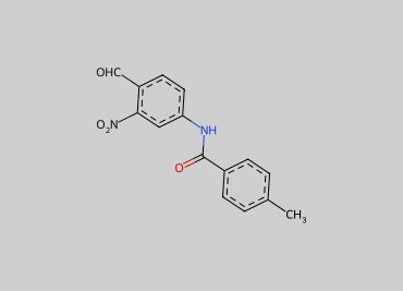 Cc1ccc(C(=O)Nc2ccc(C=O)c([N+](=O)[O-])c2)cc1